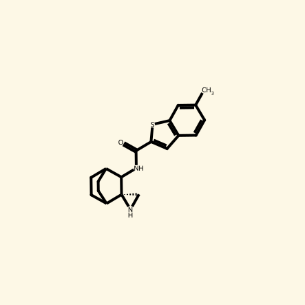 Cc1ccc2cc(C(=O)NC3C4CCC(CC4)[C@@]34CN4)sc2c1